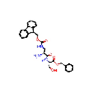 N[C@@H](CNC(=O)OCC1c2ccccc2-c2ccccc21)C(=O)N[C@@H](CO)C(=O)OCc1ccccc1